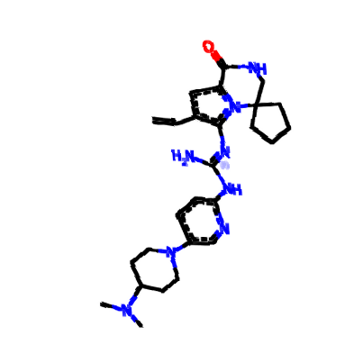 C=Cc1cc2n(c1/N=C(\N)Nc1ccc(N3CCC(N(C)C)CC3)cn1)C1(CCCC1)CNC2=O